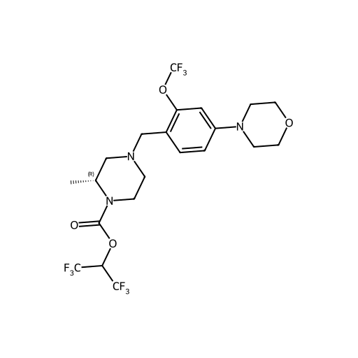 C[C@@H]1CN(Cc2ccc(N3CCOCC3)cc2OC(F)(F)F)CCN1C(=O)OC(C(F)(F)F)C(F)(F)F